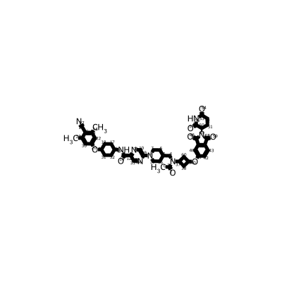 CC(=O)N(CC1CCN(c2cnc(C(=O)NC3CCC(Oc4cc(C)c(C#N)c(C)c4)CC3)cn2)CC1)C1CC(Oc2ccc3c(c2)C(=O)N([C@@H]2CCC(=O)NC2=O)C3=O)C1